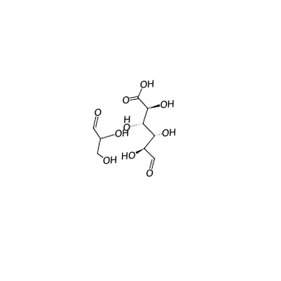 O=CC(O)CO.O=C[C@@H](O)[C@@H](O)[C@H](O)[C@H](O)C(=O)O